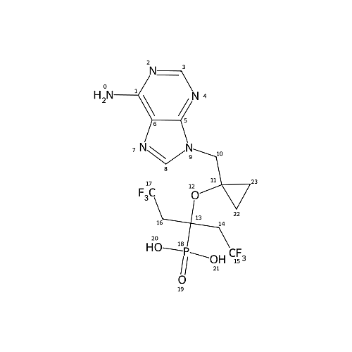 Nc1ncnc2c1ncn2CC1(OC(CC(F)(F)F)(CC(F)(F)F)P(=O)(O)O)CC1